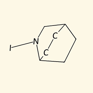 IN1CC2CCC1CC2